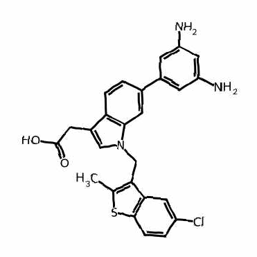 Cc1sc2ccc(Cl)cc2c1Cn1cc(CC(=O)O)c2ccc(-c3cc(N)cc(N)c3)cc21